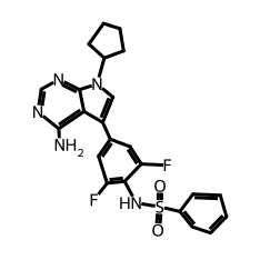 Nc1ncnc2c1c(-c1cc(F)c(NS(=O)(=O)c3ccccc3)c(F)c1)cn2C1CCCC1